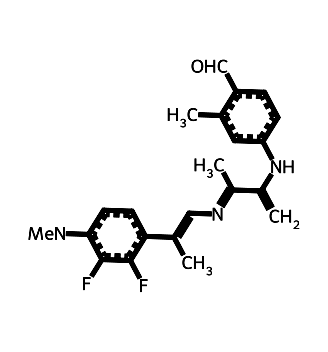 C=C(Nc1ccc(C=O)c(C)c1)/C(C)=N/C=C(\C)c1ccc(NC)c(F)c1F